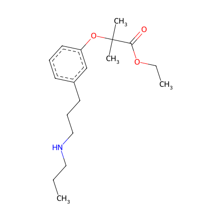 CCCNCCCc1cccc(OC(C)(C)C(=O)OCC)c1